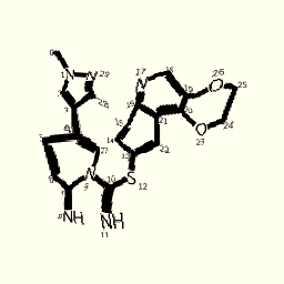 Cn1cc(-c2ccc(=N)n(C(=N)Sc3ccc4ncc5c(c4c3)OCCO5)c2)cn1